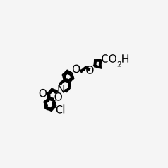 O=C(O)C1CC(OCCOc2ccc3c(c2)CCN(c2cc(=O)c4cccc(Cl)c4o2)C3)C1